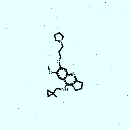 COc1cc2c(NCC3(C)CC3)c3c(nc2cc1OCCCN1CCCC1)CCC3